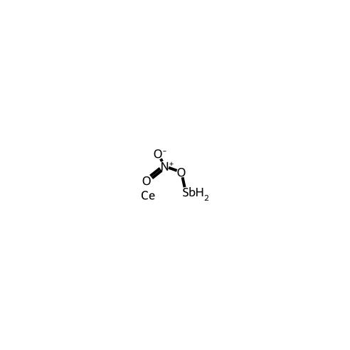 O=[N+]([O-])[O][SbH2].[Ce]